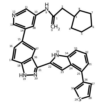 C=C(CC1CCCCC1)Nc1cncc(-c2ccc3[nH]nc(-c4cc5c(-c6ccsc6)cccc5[nH]4)c3c2)c1